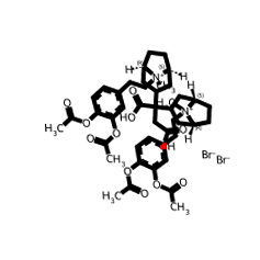 CC(=O)Oc1ccc(CC[N+]2(C)[C@@H]3CC[C@H]2CC(C(CC(=O)O)(C(=O)O)C2C[C@H]4CC[C@@H](C2)[N+]4(C)CCc2ccc(OC(C)=O)c(OC(C)=O)c2)C3)cc1OC(C)=O.[Br-].[Br-]